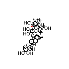 C=C1C[C@@]23CC[C@H]4[C@@](C)(CCC[C@@]4(C)C(=O)O[C@@H]4OC[C@H](O)[C@H](O)[C@H]4O)[C@@H]2CC[C@]1(C[C@@H]1O[C@H](CO)[C@@H](O)[C@H](O[C@@H]2O[C@H](CO)[C@@H](O)[C@H](O)[C@H]2O)[C@H]1C[C@@H]1O[C@H](CO)[C@@H](O)[C@H](O)[C@H]1O)C3